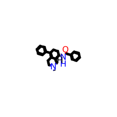 CN1CCC2=C(c3ccccc3)CC[C@@H](NC(=O)c3ccccc3)[C@H]2C1